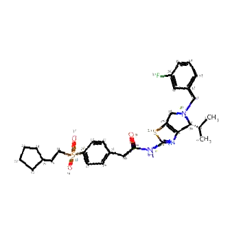 CC(C)[C@@H]1c2nc(NC(=O)Cc3ccc(S(=O)(=O)CCC4CCCC4)cc3)sc2CN1Cc1cccc(F)c1